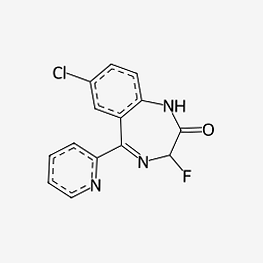 O=C1Nc2ccc(Cl)cc2C(c2ccccn2)=NC1F